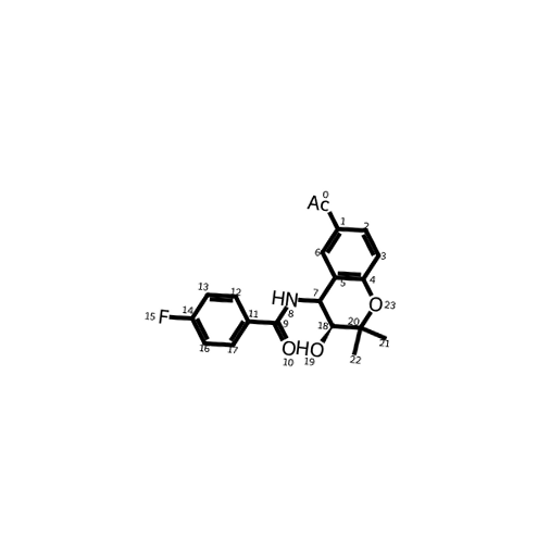 CC(=O)c1ccc2c(c1)C(NC(=O)c1ccc(F)cc1)[C@H](O)C(C)(C)O2